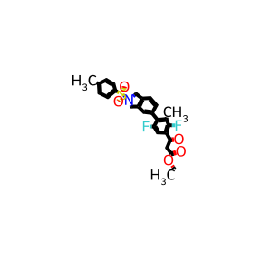 CCOC(=O)CC(=O)c1cc(F)c(-c2ccc3c(c2)CN(S(=O)(=O)c2ccc(C)cc2)C3)c(C)c1F